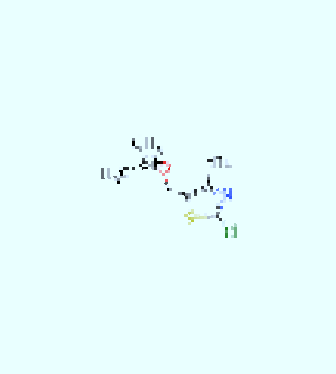 C[SiH](C)OCc1sc(Cl)nc1C(C)(C)C